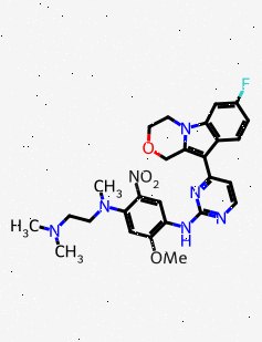 COc1cc(N(C)CCN(C)C)c([N+](=O)[O-])cc1Nc1nccc(-c2c3n(c4cc(F)ccc24)CCOC3)n1